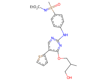 CCOC(=O)N=S(C)(=O)c1ccc(Nc2ncc(-c3cccs3)c(OCC(C)CO)n2)cc1